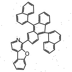 c1ccc2c(-c3c4ccccc4c(-c4cccc5ccccc45)c4cc(-c5nccc6c5oc5ccccc56)ccc34)cccc2c1